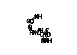 Cc1cccc(-c2[nH]cnc2-c2ccc3ncc(NCCN4CC[C@@H](C(=O)OCC5CNC5)C4)cc3c2)n1